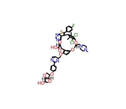 Cc1c(Cl)c2c(Cl)c(C)c1-c1c(-c3ccc(F)cc3)sc3ncnc(c13)O[C@@H](C(=O)O)Cc1cc(ccc1OCc1ccnc(-c3ccc(OC4CO[C@H]5[C@@H]4OC[C@@H]5O)cc3)n1)OC[C@@H](CN1CCN(C)CC1)O2